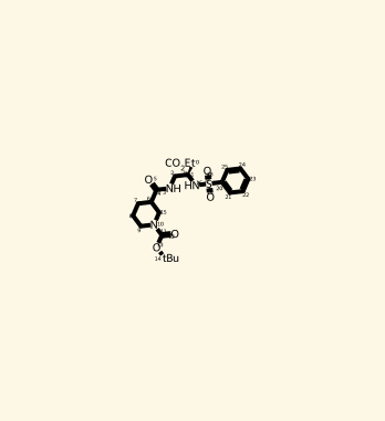 CCOC(=O)[C@H](CNC(=O)C1CCCN(C(=O)OC(C)(C)C)C1)NS(=O)(=O)c1ccccc1